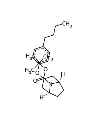 CCCCc1ccc(O[C@@H]2C[C@H]3CC[C@@H](C2)N3C(=O)OC(C)(C)C)cc1